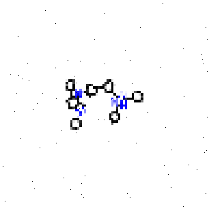 c1ccc(-c2nc(-c3ccccc3)nc(-c3cccc(-c4ccc(-n5c6ccccc6c6ccc7c(cnn7-c7ccccc7)c65)cc4)c3)n2)cc1